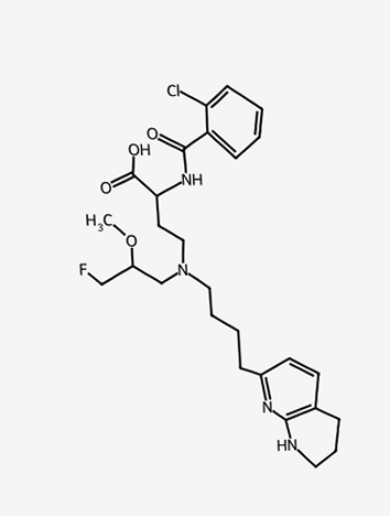 COC(CF)CN(CCCCc1ccc2c(n1)NCCC2)CCC(NC(=O)c1ccccc1Cl)C(=O)O